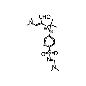 CN(C)C=NS(=O)(=O)c1ccc([C@@H]2[C@@H](C(C=O)=CN(C)C)C2(C)C)cc1